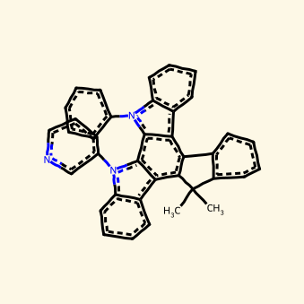 CC1(C)c2ccccc2-c2c1c1c3ccccc3n(-c3cccnc3)c1c1c2c2ccccc2n1-c1ccccc1